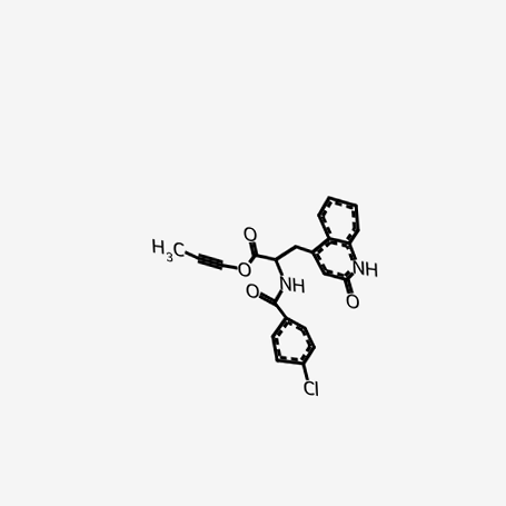 CC#COC(=O)C(Cc1cc(=O)[nH]c2ccccc12)NC(=O)c1ccc(Cl)cc1